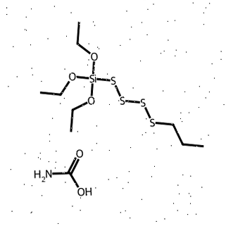 CCCSSSS[Si](OCC)(OCC)OCC.NC(=O)O